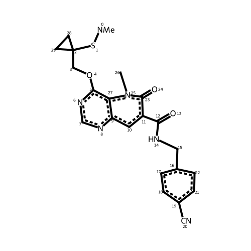 CNSC1(COc2ncnc3cc(C(=O)NCc4ccc(C#N)cc4)c(=O)n(C)c23)CC1